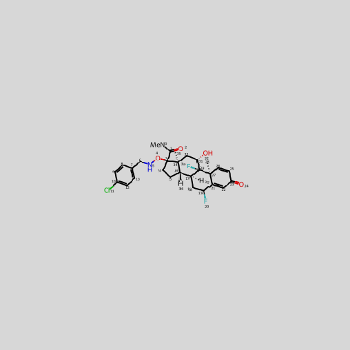 CNC(=O)[C@@]1(ONCc2ccc(Cl)cc2)CC[C@H]2[C@@H]3C[C@H](F)C4=CC(=O)C=C[C@]4(C)[C@@]3(F)[C@@H](O)C[C@@]21C